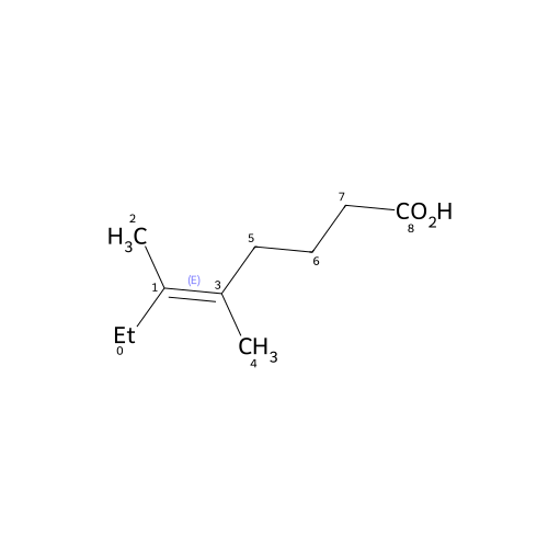 CC/C(C)=C(\C)CCCC(=O)O